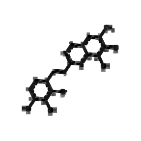 Cc1cc2cnc(/C=C/c3ccc(O)c(O)c3Br)sc-2c(O)c1=O